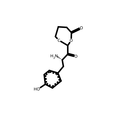 N[C@@H](Cc1ccc(O)cc1)C(=O)C1CCCCC(=O)O1